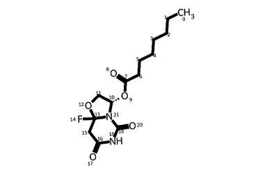 CCCCCCCC(=O)O[C@H]1COC2(F)CC(=O)NC(=O)N12